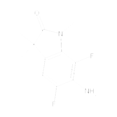 CN1C(=O)C(C)(C)c2cc(F)c(N)c(F)c21